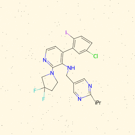 CC(C)c1ncc(CNc2c(-c3cc(Cl)ccc3I)ccnc2N2CCC(F)(F)C2)cn1